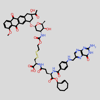 COc1cccc2c1C(=O)c1cc3c(cc1C2=O)C[C@@](O)(C(C)=O)C[C@@H]3O[C@H]1C[C@@H](NC(=O)OCCSSC[C@@H](NC(=O)CC[C@@H](NC(=O)c2ccc(NCc3cnc4nc(N)[nH]c(=O)c4n3)cc2)C(=O)OC2/C=C/CCCCC2)C(=O)O)[C@H](O)[C@H](C)O1